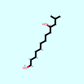 CC(C)CC(O)CCCCCCCCCO